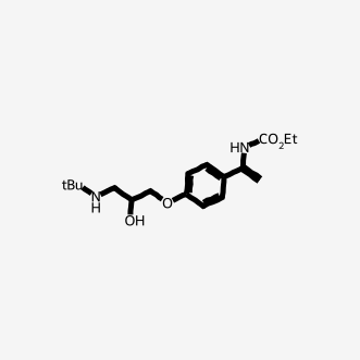 C=C(NC(=O)OCC)c1ccc(OCC(O)CNC(C)(C)C)cc1